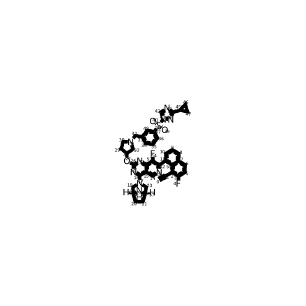 C#Cc1c(F)ccc2cccc(-c3ncc4c(N5C[C@H]6CC[C@@H](C5)N6)nc(OC5CCN(Cc6cccc(S(=O)(=O)n7cnc(C8CC8)n7)c6)C5)nc4c3F)c12